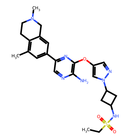 CCS(=O)(=O)NC1CC(n2cc(Oc3nc(-c4cc(C)c5c(c4)CN(C)CC5)cnc3N)cn2)C1